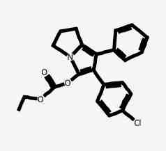 CCOC(=O)Oc1c(-c2ccc(Cl)cc2)c(-c2ccccc2)c2n1CCC2